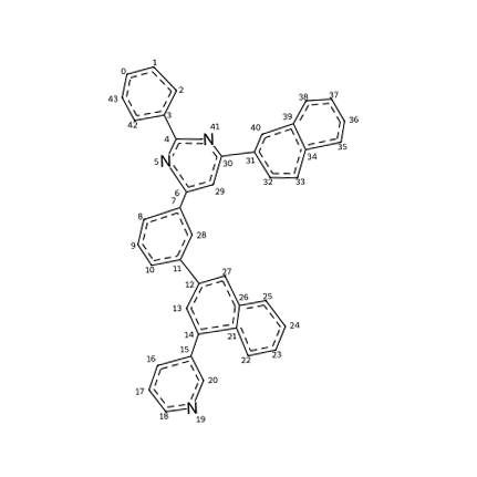 c1ccc(-c2nc(-c3cccc(-c4cc(-c5cccnc5)c5ccccc5c4)c3)cc(-c3ccc4ccccc4c3)n2)cc1